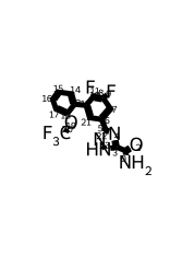 NC(=O)c1nc(-c2cc(F)c(F)c(-c3ccccc3OC(F)(F)F)c2)n[nH]1